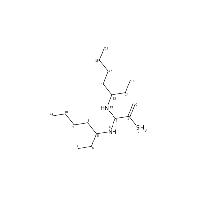 C=C([SiH3])C(NC(CC)CCCC)NC(CC)CCCC